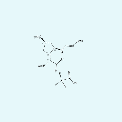 CCOC(=O)[C@@H]1C[C@@H]([C@@H](NC(C)=O)C(CC)CC)[C@H](NC=NNC)C1.O=C(O)C(F)(F)F